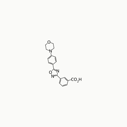 O=C(O)c1cccc(-c2noc(-c3ccc(N4CCOCC4)cc3)n2)c1